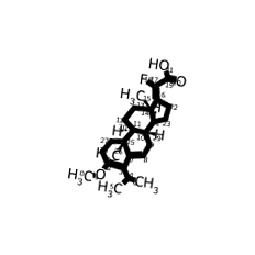 COC1=C(C(C)C)C2=CC[C@@H]3[C@H](CC[C@]4(C)C(=C(F)C(=O)O)CC[C@@H]34)[C@@]2(C)CC1